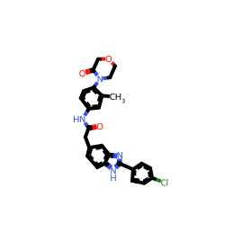 Cc1cc(NC(=O)Cc2ccc3[nH]c(-c4ccc(Cl)cc4)nc3c2)ccc1N1CCOCC1=O